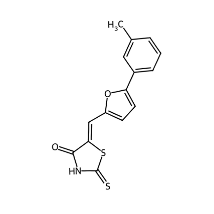 Cc1cccc(-c2ccc(/C=C3\SC(=S)NC3=O)o2)c1